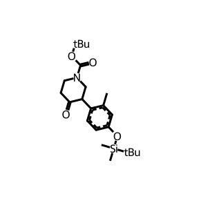 Cc1cc(O[Si](C)(C)C(C)(C)C)ccc1C1CN(C(=O)OC(C)(C)C)CCC1=O